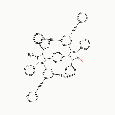 C#Cc1cc(C#Cc2ccccc2)cc(C2=C(c3ccccc3)C(=C)C(c3ccccc3)=C2c2ccc(C3=C(c4ccccc4)C(=O)C(c4ccccc4)=C3c3cc(C#Cc4ccccc4)cc(C#Cc4ccccc4)c3)cc2)c1